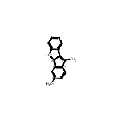 CC1=C2c3ccccc3NC2c2cc(C)ccc21